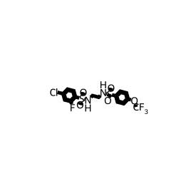 O=S(=O)(NCCNS(=O)(=O)c1ccc(Cl)cc1F)c1ccc(OC(F)(F)F)cc1